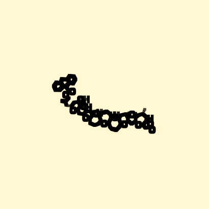 C=C(COC(=O)c1c2ccccc2cc2ccccc12)C[C@@H]1C[C@H](O)[C@@H]2O[C@@H]3C[C@]4(C)O[C@@H]5/C=C\C[C@@H]6O[C@@H]7CC[C@]8(C)O[C@]9(C)C[C@H](C)C[C@@H]%10OC(=O)CC%10OC9CC8OC7C/C=C\CC6OC5CCCC4OC3CC2O1